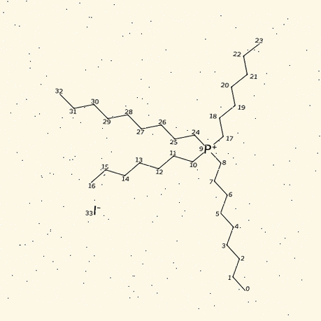 CCCCCCCCC[P+](CCCCCCC)(CCCCCCC)CCCCCCCCC.[I-]